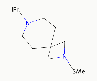 CSN1CC2(CCN(C(C)C)CC2)C1